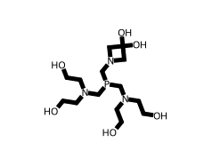 OCCN(CCO)CP(CN(CCO)CCO)CN1CC(O)(O)C1